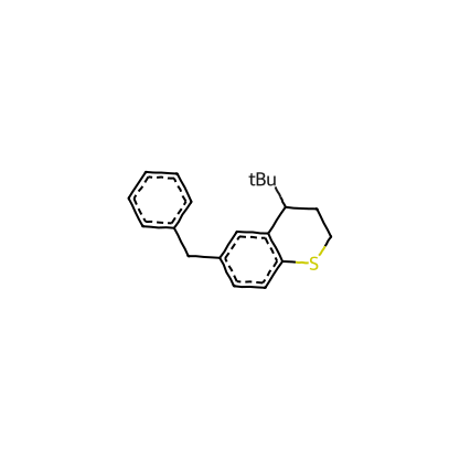 CC(C)(C)C1CCSc2ccc(Cc3ccccc3)cc21